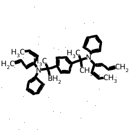 BC(C)(c1ccc(C(C)(C)N(C(/C=C\C)=C/C=C)c2ccccc2)cc1)N(C(/C=C\C)=C/C=C)c1ccccc1